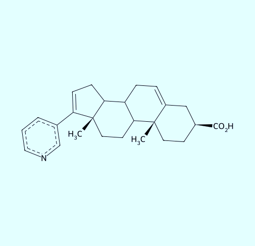 C[C@]12CC[C@H](C(=O)O)CC1=CCC1C2CC[C@]2(C)C(c3cccnc3)=CCC12